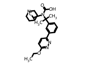 CCOc1ccc(-c2cccc(C(C)(C)N(C(=O)O)C3CN4CCC3CC4)c2)nn1